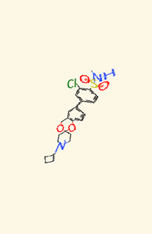 CNS(=O)(=O)c1ccc(-c2ccc3c(c2)COC2(CCN(C4CCC4)CC2)O3)cc1Cl